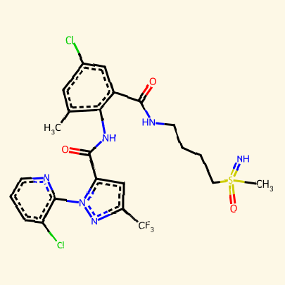 Cc1cc(Cl)cc(C(=O)NCCCCS(C)(=N)=O)c1NC(=O)c1cc(C(F)(F)F)nn1-c1ncccc1Cl